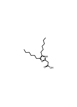 CCCCCCc1nc(CC(=O)O)[nH]c1CCCCCC